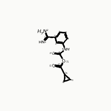 N=C(N)c1cccc(NC(=O)OC(=O)C2CC2)c1